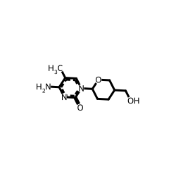 Cc1cn(C2CCC(CO)CO2)c(=O)nc1N